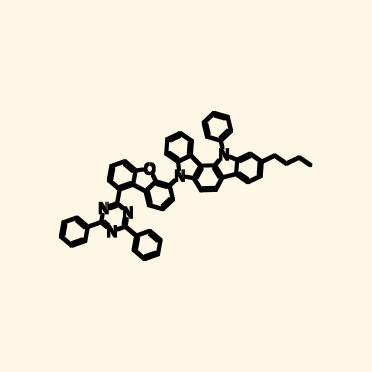 CCCCc1ccc2c3ccc4c(c5ccccc5n4-c4cccc5c4oc4cccc(-c6nc(-c7ccccc7)nc(-c7ccccc7)n6)c45)c3n(-c3ccccc3)c2c1